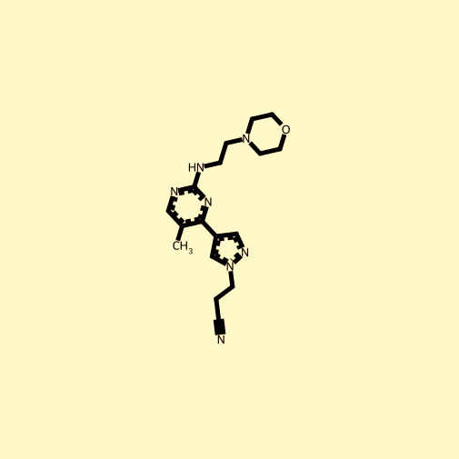 Cc1cnc(NCCN2CCOCC2)nc1-c1cnn(CCC#N)c1